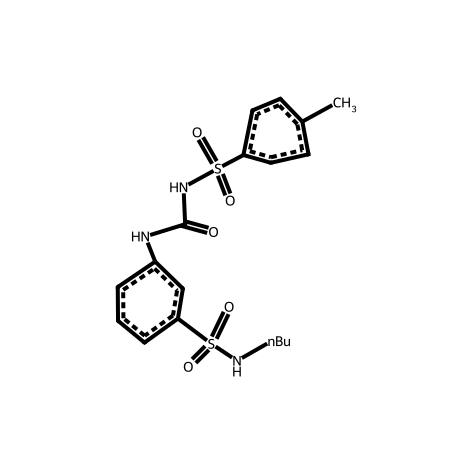 CCCCNS(=O)(=O)c1cccc(NC(=O)NS(=O)(=O)c2ccc(C)cc2)c1